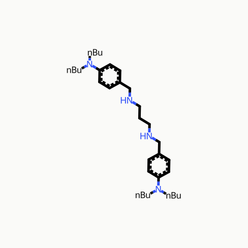 CCCCN(CCCC)c1ccc(CNCCCNCc2ccc(N(CCCC)CCCC)cc2)cc1